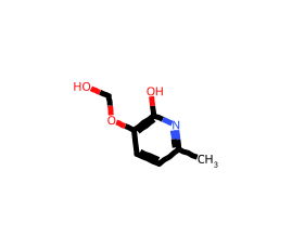 Cc1ccc(OCO)c(O)n1